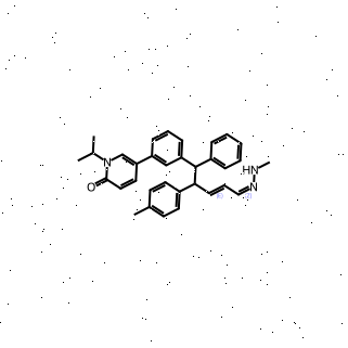 CN/N=C\C=C\C(c1ccc(C)cc1)C(c1ccccc1)c1cccc(-c2ccc(=O)n(C(C)C)c2)c1